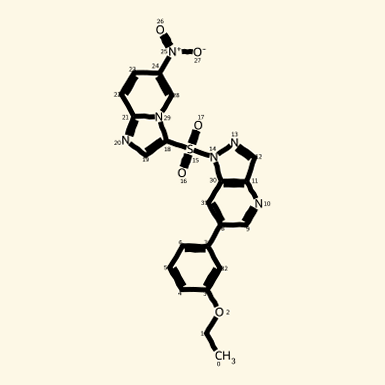 CCOc1cccc(-c2cnc3cnn(S(=O)(=O)c4cnc5ccc([N+](=O)[O-])cn45)c3c2)c1